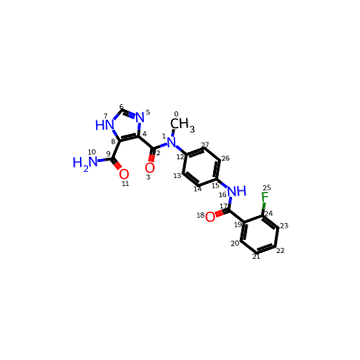 CN(C(=O)c1nc[nH]c1C(N)=O)c1ccc(NC(=O)c2ccccc2F)cc1